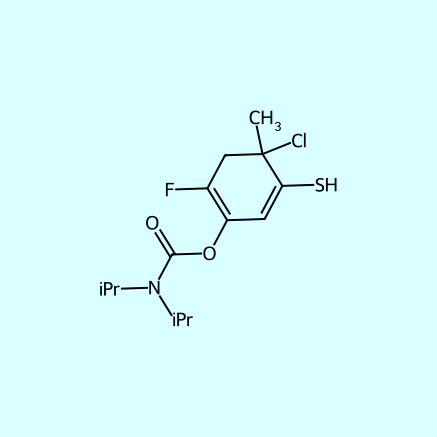 CC(C)N(C(=O)OC1=C(F)CC(C)(Cl)C(S)=C1)C(C)C